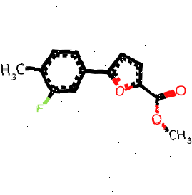 COC(=O)c1ccc(-c2ccc(C)c(F)c2)o1